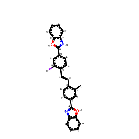 Cc1cc(-c2nc3ccccc3o2)ccc1C=Cc1ccc(-c2nc3ccccc3o2)cc1I